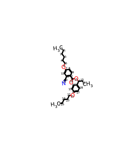 CCCCCCOc1ccc(C(=O)OC(CC)c2ccc(OCCCCC)cc2)c(C#N)c1